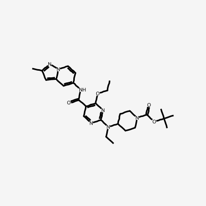 CCOc1nc(N(CC)C2CCN(C(=O)OC(C)(C)C)CC2)ncc1C(=O)Nc1ccn2nc(C)cc2c1